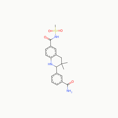 CC1(C)Cc2cc(C(=O)NS(C)(=O)=O)ccc2NC1c1cccc(C(N)=O)c1